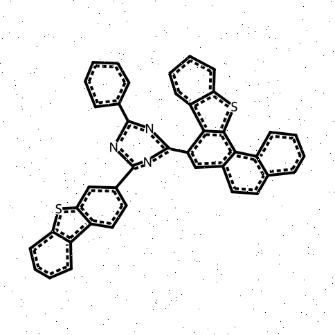 c1ccc(-c2nc(-c3ccc4c(c3)sc3ccccc34)nc(-c3cc4ccc5ccccc5c4c4sc5ccccc5c34)n2)cc1